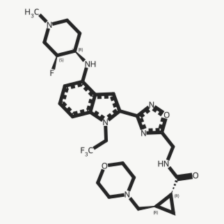 CN1CC[C@@H](Nc2cccc3c2cc(-c2noc(CNC(=O)[C@@H]4C[C@H]4CN4CCOCC4)n2)n3CC(F)(F)F)[C@@H](F)C1